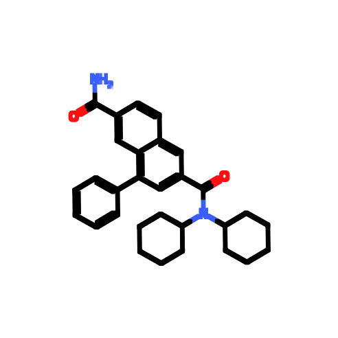 NC(=O)c1ccc2cc(C(=O)N(C3CCCCC3)C3CCCCC3)cc(-c3ccccc3)c2c1